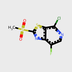 CS(=O)(=O)c1nc2c(F)cnc(Cl)c2s1